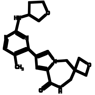 Cc1cnc(NC2CCOC2)nc1-c1cc2n(c1)CC1(CNC2=O)COC1